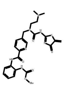 C=C1SC(NC(=O)N(CCN(C)C)Cc2ccc(C(=O)Nc3ccccc3NC(=O)OC(C)(C)C)nc2)=NC1=O